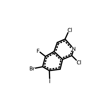 Fc1c(Br)c(I)cc2c(Cl)nc(Cl)cc12